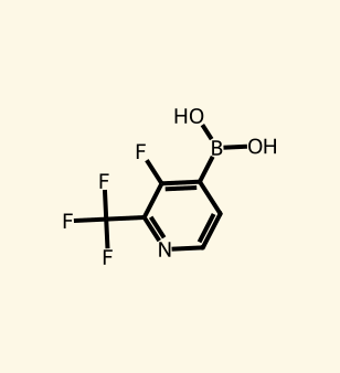 OB(O)c1ccnc(C(F)(F)F)c1F